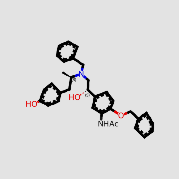 CC(=O)Nc1cc([C@H](O)CN(Cc2ccccc2)[C@H](C)Cc2ccc(O)cc2)ccc1OCc1ccccc1